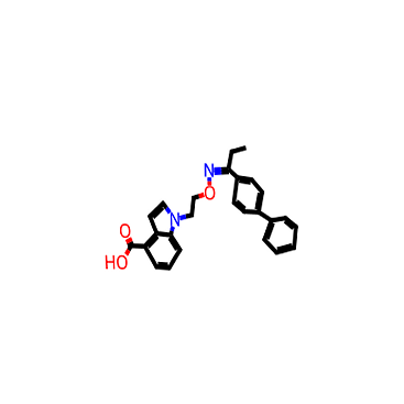 CCC(=NOCCn1ccc2c(C(=O)O)cccc21)c1ccc(-c2ccccc2)cc1